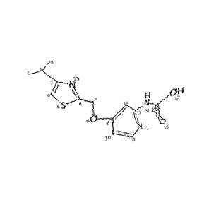 CC(C)c1csc(COc2ccnc(NC(=O)O)c2)n1